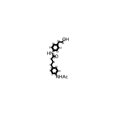 CC(=O)Nc1ccc(CCCC(=O)Nc2ccc(CCO)cc2)cc1